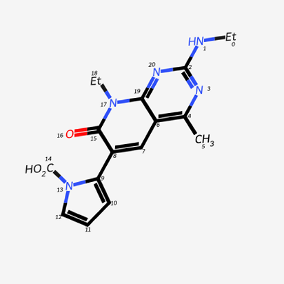 CCNc1nc(C)c2cc(-c3cccn3C(=O)O)c(=O)n(CC)c2n1